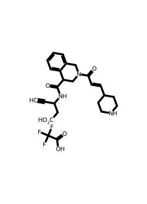 C#CC(CC(=O)O)NC(=O)C1CN(C(=O)/C=C/C2CCNCC2)Cc2ccccc21.O=C(O)C(F)(F)F